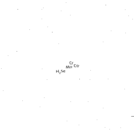 [Co].[Cr].[Mn].[SeH2]